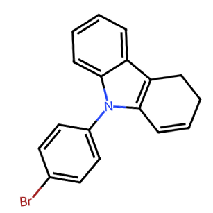 Brc1ccc(-n2c3c(c4ccccc42)CCC=C3)cc1